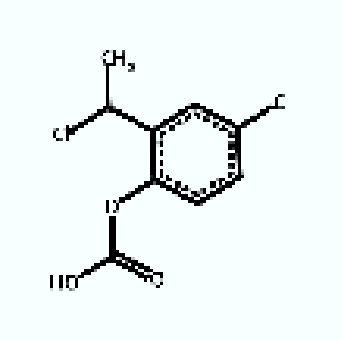 CC(Cl)c1cc(Cl)ccc1OC(=O)O